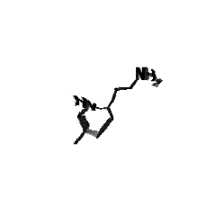 CC1=CNC(CCN)C=C1